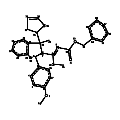 COc1ccc(CN(/C(=N/C(=O)OCc2ccccc2)SC)C(C)(c2ccccc2Br)C2CC=CS2)cc1